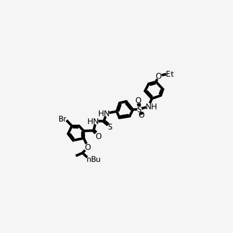 CCCCC(C)Oc1ccc(Br)cc1C(=O)NC(=S)Nc1ccc(S(=O)(=O)Nc2ccc(OCC)cc2)cc1